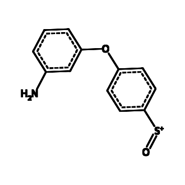 Nc1cccc(Oc2ccc([S+]=O)cc2)c1